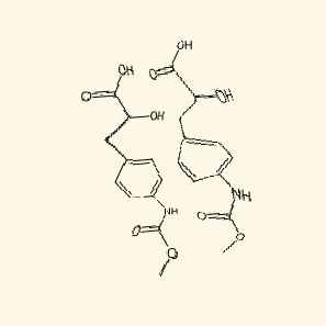 COC(=O)Nc1ccc(CC(O)C(=O)O)cc1.COC(=O)Nc1ccc(CC(O)C(=O)O)cc1